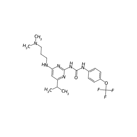 CC(C)c1cc(NCCCN(C)C)nc(NC(=O)Nc2ccc(OC(F)(F)F)cc2)n1